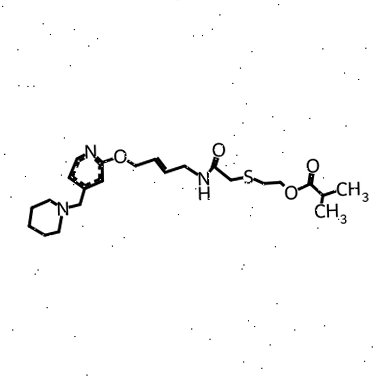 CC(C)C(=O)OCCSCC(=O)NCC=CCOc1cc(CN2CCCCC2)ccn1